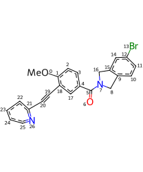 COc1ccc(C(=O)N2Cc3ccc(Br)cc3C2)cc1C#Cc1ccccn1